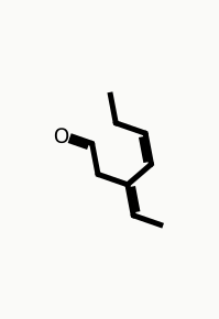 C/C=C(\C=C/CC)CC=O